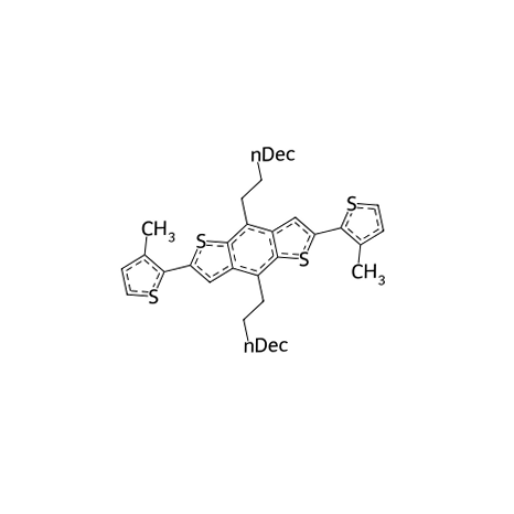 CCCCCCCCCCCCc1c2cc(-c3sccc3C)sc2c(CCCCCCCCCCCC)c2cc(-c3sccc3C)sc12